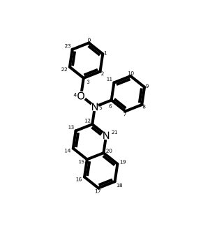 c1ccc(ON(c2ccccc2)c2ccc3ccccc3n2)cc1